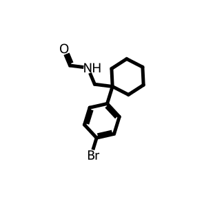 O=CNCC1(c2ccc(Br)cc2)CCCCC1